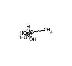 CCCCCCCCO[C@H]1O[C@@H](CO)[C@H](O)[C@@H](O)[C@@H]1O